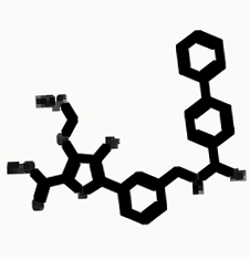 COC(=O)c1sc(-c2cccc(CNC(C(C)=O)c3ccc(-c4ccccc4)cc3)c2)c(Br)c1OCC(=O)O